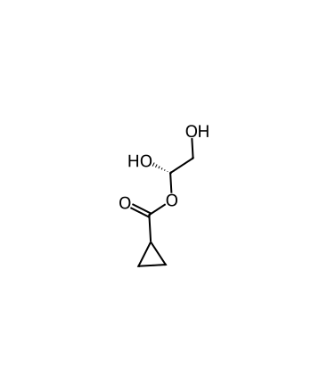 O=C(O[C@H](O)CO)C1CC1